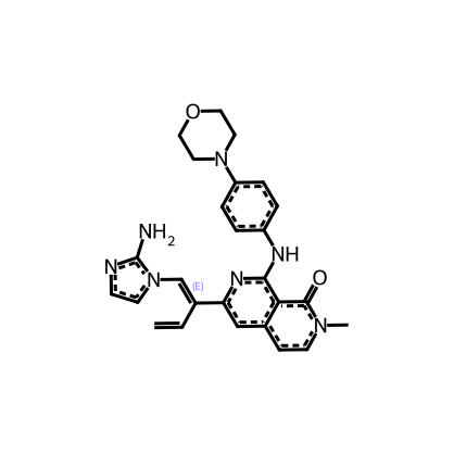 C=C/C(=C\n1ccnc1N)c1cc2ccn(C)c(=O)c2c(Nc2ccc(N3CCOCC3)cc2)n1